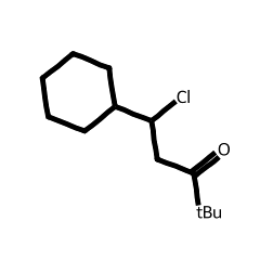 CC(C)(C)C(=O)CC(Cl)C1CCCCC1